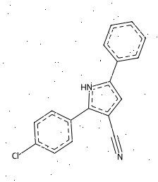 N#Cc1cc(-c2ccccc2)[nH]c1-c1ccc(Cl)cc1